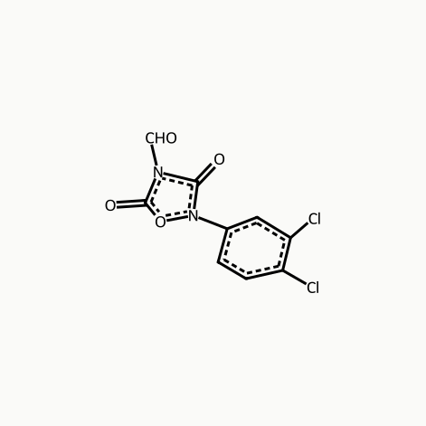 O=Cn1c(=O)on(-c2ccc(Cl)c(Cl)c2)c1=O